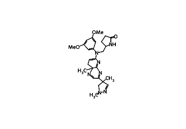 COc1cc(OC)cc(N(CC2CCC(=O)N2)C2=CCC3(C)N=CC(C4(C)C=NN(C)C4)=NC3=N2)c1